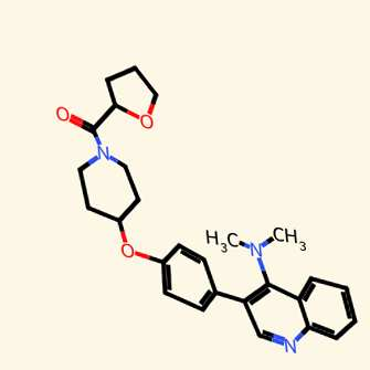 CN(C)c1c(-c2ccc(OC3CCN(C(=O)C4CCCO4)CC3)cc2)cnc2ccccc12